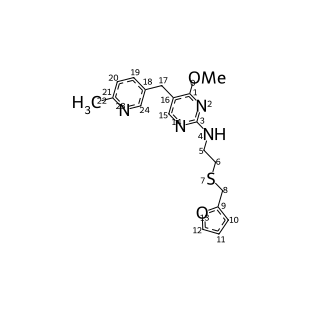 COc1nc(NCCSCc2ccco2)ncc1Cc1ccc(C)nc1